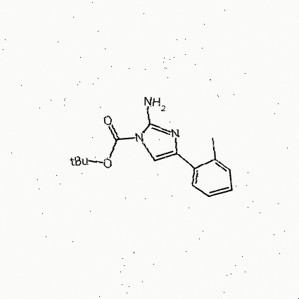 CC(C)(C)OC(=O)n1cc(-c2ccccc2I)nc1N